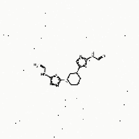 C=CNc1nnc([C@@H]2CCC[C@H](c3cnc(NC=O)s3)C2)s1